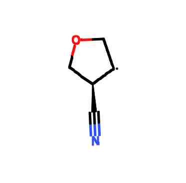 N#C[C@@H]1[CH]COC1